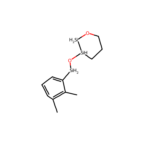 Cc1cccc([SiH2]O[SiH]2CCCO[SiH2]2)c1C